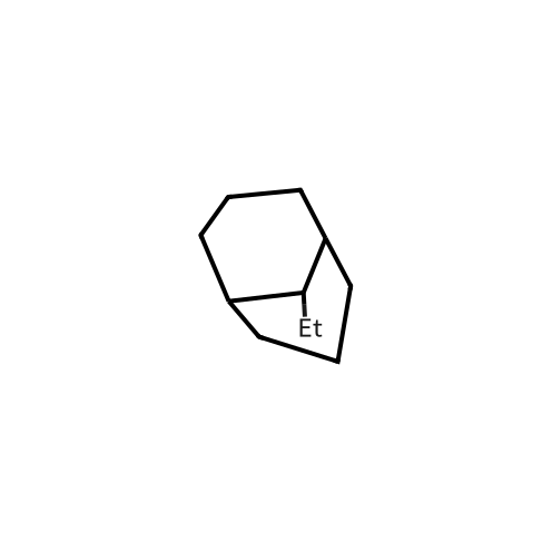 CCC1C2CCCC1CCC2